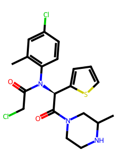 Cc1cc(Cl)ccc1N(C(=O)CCl)[C@H](C(=O)N1CCNC(C)C1)c1cccs1